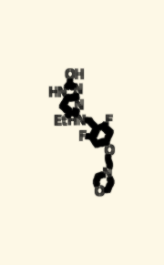 CCc1cc2[nH]c(O)nc2nc1NCc1c(F)cc(OCCN2CCOCC2)cc1F